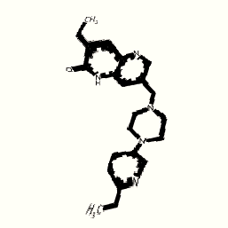 CCc1ccc(N2CCN(Cc3cnc4cc(CC)c(=O)[nH]c4c3)CC2)cn1